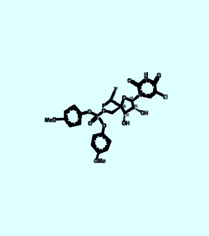 COc1ccc(OP(=O)(OC[C@@]2(C(F)F)O[C@@H](n3cc(Cl)c(=O)[nH]c3=O)[C@H](O)[C@@H]2O)Oc2ccc(OC)cc2)cc1